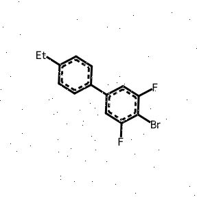 CCc1ccc(-c2cc(F)c(Br)c(F)c2)cc1